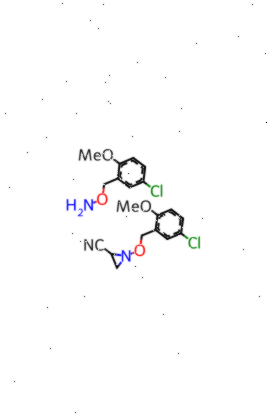 COc1ccc(Cl)cc1CON.COc1ccc(Cl)cc1CON1CC1C#N